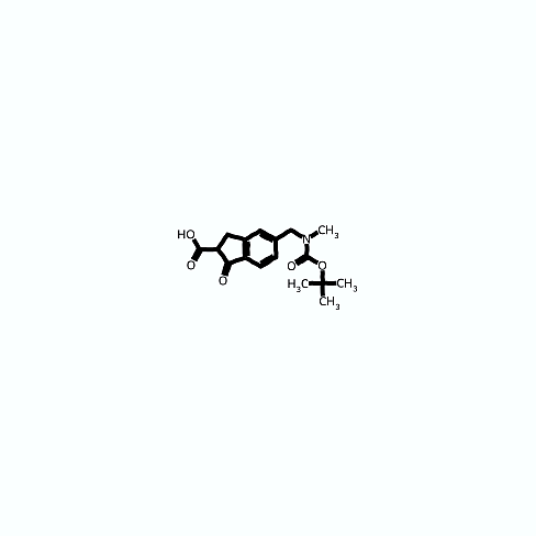 CN(Cc1ccc2c(c1)CC(C(=O)O)C2=O)C(=O)OC(C)(C)C